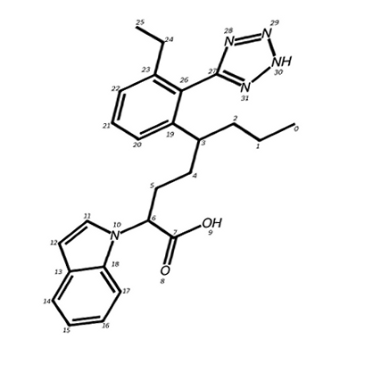 CCCC(CCC(C(=O)O)n1ccc2ccccc21)c1cccc(CC)c1-c1nn[nH]n1